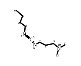 CCCCN=C=NCCCN(C)C